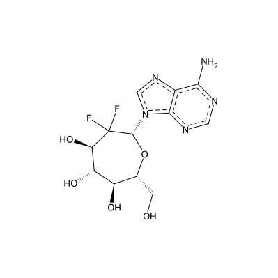 Nc1ncnc2c1ncn2[C@@H]1O[C@H](CO)[C@@H](O)[C@H](O)[C@@H](O)C1(F)F